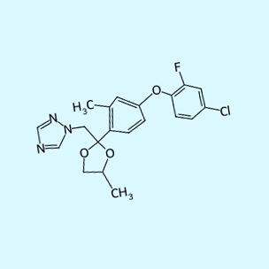 Cc1cc(Oc2ccc(Cl)cc2F)ccc1C1(Cn2cncn2)OCC(C)O1